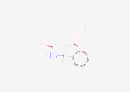 CCOC(=O)C1CC(=O)NC1(C)c1ccccc1